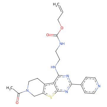 C=CCOC(=O)NCCNc1nc(-c2ccncc2)nc2sc3c(c12)CCN(C(C)=O)C3